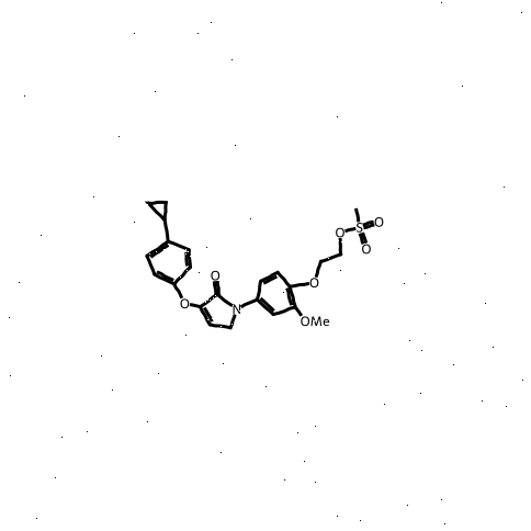 COc1cc(N2CC=C(Oc3ccc(C4CC4)cc3)C2=O)ccc1OCCOS(C)(=O)=O